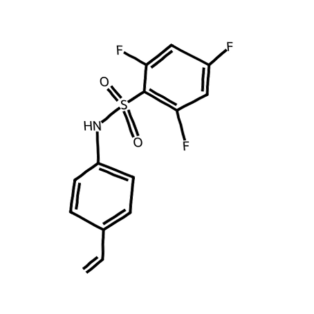 C=Cc1ccc(NS(=O)(=O)c2c(F)cc(F)cc2F)cc1